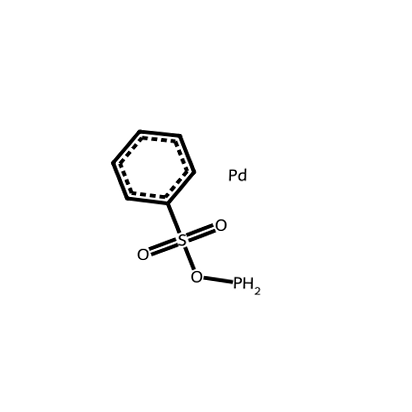 O=S(=O)(OP)c1ccccc1.[Pd]